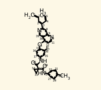 C=C/C=C(\C=C/C)c1cc2nccc(Oc3ccc(NC(=O)C4(C(=O)Nc5ccc(C)cc5)CC4)cc3F)c2cn1